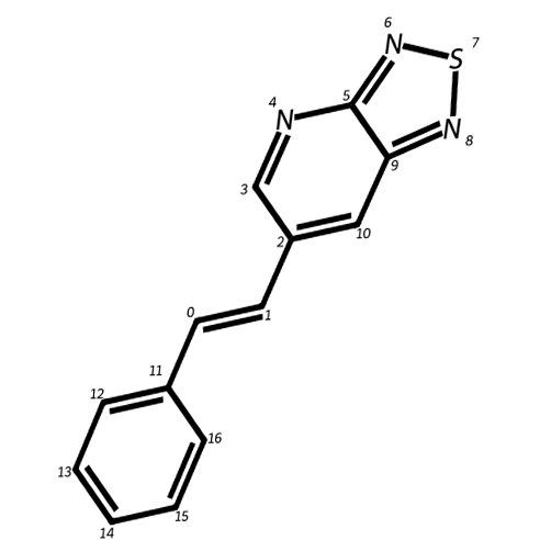 C(=C\c1cnc2nsnc2c1)/c1ccccc1